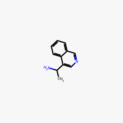 CC(N)c1cncc2ccccc12